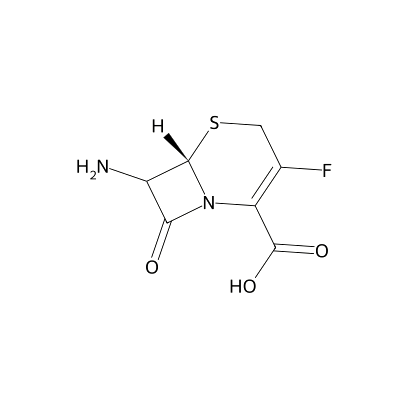 NC1C(=O)N2C(C(=O)O)=C(F)CS[C@@H]12